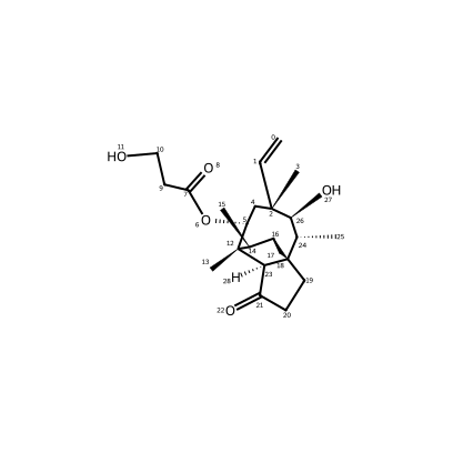 C=C[C@@]1(C)C[C@@H](OC(=O)CCO)[C@]2(C)[C@H](C)CC[C@]3(CCC(=O)[C@H]32)[C@@H](C)[C@@H]1O